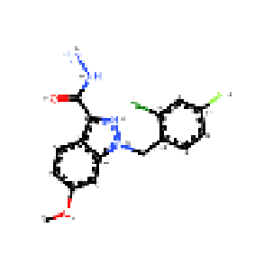 COc1ccc2c(C(=O)NN)nn(Cc3ccc(F)cc3Cl)c2c1